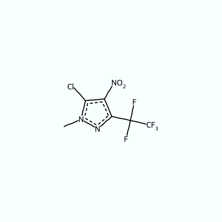 Cn1nc(C(F)(F)C(F)(F)F)c([N+](=O)[O-])c1Cl